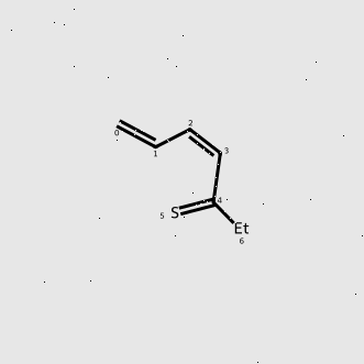 C=C/C=C\C(=S)CC